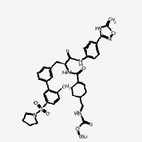 C=C1NC(c2ccc(NC(=O)[C@H](Cc3cccc(-c4cc(S(=O)(=O)N5CCCC5)ccc4C)c3)NC(=O)C3CCC(CNC(=O)OC(C)(C)C)CC3)cc2)=NO1